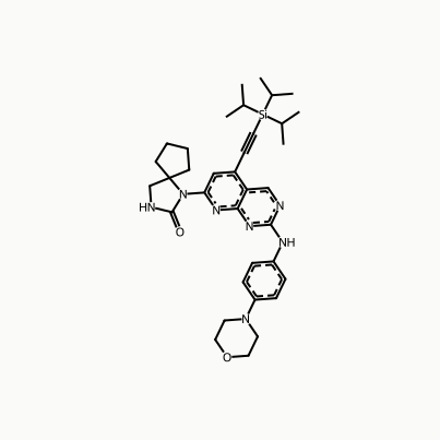 CC(C)[Si](C#Cc1cc(N2C(=O)NCC23CCCC3)nc2nc(Nc3ccc(N4CCOCC4)cc3)ncc12)(C(C)C)C(C)C